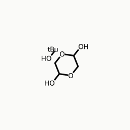 CC(C)(C)O.OC1COC(O)CO1